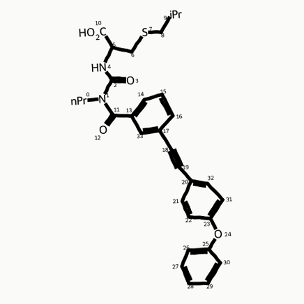 CCCN(C(=O)NC(CSCC(C)C)C(=O)O)C(=O)c1cccc(C#Cc2ccc(Oc3ccccc3)cc2)c1